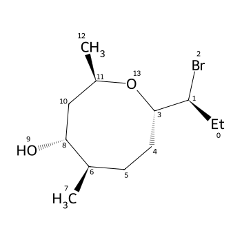 CC[C@H](Br)[C@@H]1CC[C@@H](C)[C@H](O)C[C@@H](C)O1